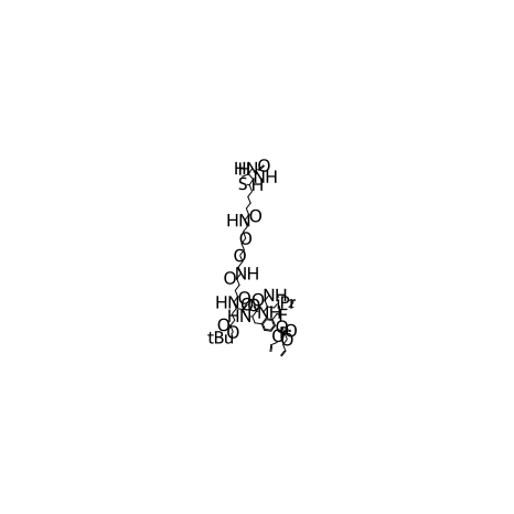 C=CCOP(=O)(OCC=C)Oc1ccc(CC(NC(=O)C(CCC(=O)OC(C)(C)C)NC(=O)CCC(=O)NCCOCCOCCNC(=O)CCCCC2SC[C@H]3NC(=O)N[C@@H]23)C(=O)NC(CC(C)C)C(N)=O)cc1CF